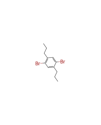 CCCc1cc(Br)c(CCC)cc1Br